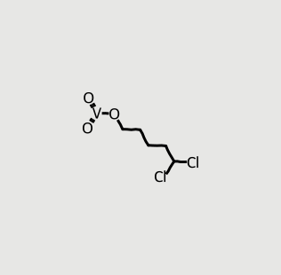 [O]=[V](=[O])[O]CCCCC(Cl)Cl